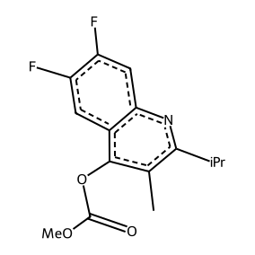 COC(=O)Oc1c(C)c(C(C)C)nc2cc(F)c(F)cc12